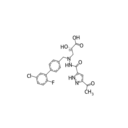 CC(=O)c1cc(C(=O)NN(Cc2ccc(-c3cc(Cl)ccc3F)cc2)C[C@H](O)C(=O)O)[nH]n1